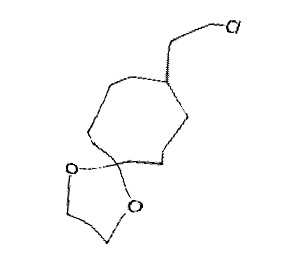 ClCC1CCC2(CC1)OCCO2